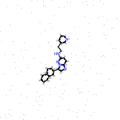 c1cncc(CCNc2ccc3ncc(-c4ccc5ccccc5c4)n3n2)c1